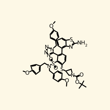 COc1ccc(CN(Cc2ccc(OC)cc2)S(=O)(=O)c2c(SC3CN(C(=O)OC(C)(C)C)C3)ccc(-c3cccc4sc(N)nc34)c2-c2nnnn2Cc2ccc(OC)cc2)cc1